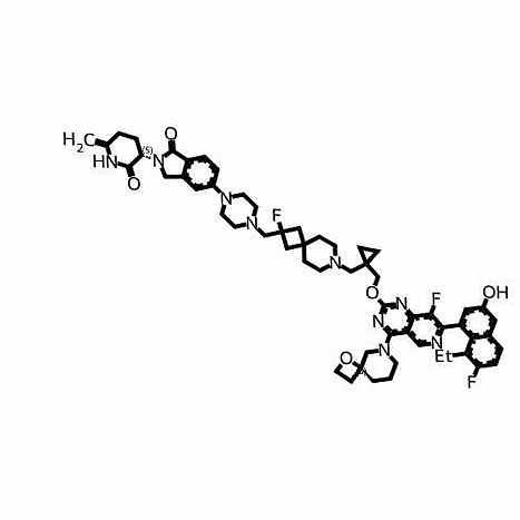 C=C1CC[C@H](N2Cc3cc(N4CCN(CC5(F)CC6(CCN(CC7(COc8nc(N9CCC[C@]%10(CCO%10)C9)c9cnc(-c%10cc(O)cc%11ccc(F)c(CC)c%10%11)c(F)c9n8)CC7)CC6)C5)CC4)ccc3C2=O)C(=O)N1